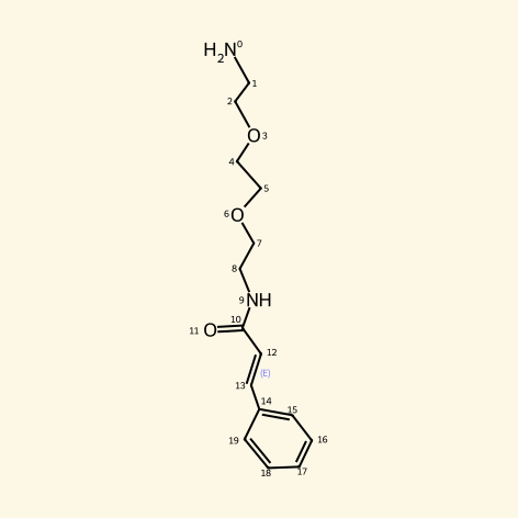 NCCOCCOCCNC(=O)/C=C/c1ccccc1